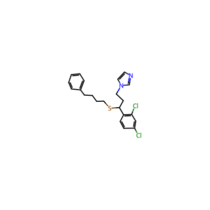 Clc1ccc(C(CCn2ccnc2)SCCCCc2ccccc2)c(Cl)c1